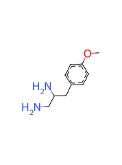 COc1ccc(CC(N)CN)cc1